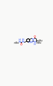 CCCCNC(=O)NCc1ccc(CN2C(=N)NC(CCCC)(CCCC)CC2=O)cc1